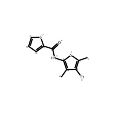 CCc1c(C)sc(NC(=O)c2cccs2)c1C